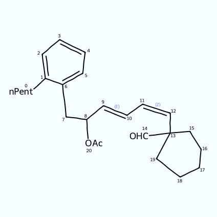 CCCCCc1ccccc1CC(/C=C/C=C\C1(C=O)CCCCC1)OC(C)=O